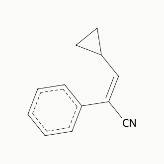 N#C/C(=C/C1CC1)c1ccccc1